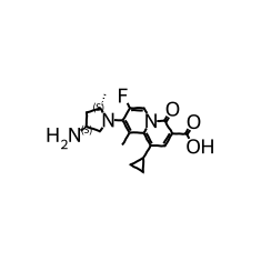 Cc1c(N2C[C@@H](N)C[C@@H]2C)c(F)cn2c(=O)c(C(=O)O)cc(C3CC3)c12